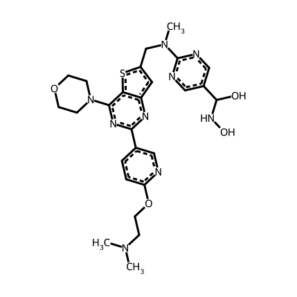 CN(C)CCOc1ccc(-c2nc(N3CCOCC3)c3sc(CN(C)c4ncc(C(O)NO)cn4)cc3n2)cn1